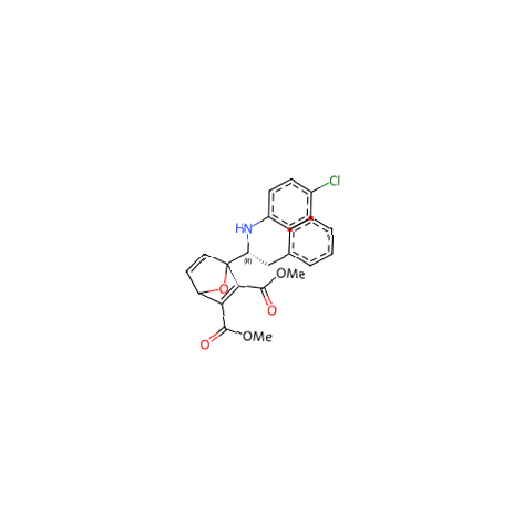 COC(=O)C1=C(C(=O)OC)C2([C@@H](Cc3ccccc3)Nc3ccc(Cl)cc3)C=CC1O2